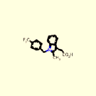 Cc1c(CC(=O)O)c2ccccc2n1Cc1ccc(C(F)(F)F)cc1